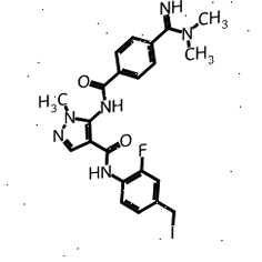 CN(C)C(=N)c1ccc(C(=O)Nc2c(C(=O)Nc3ccc(CI)cc3F)cnn2C)cc1